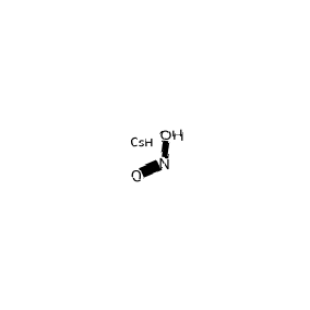 O=NO.[CsH]